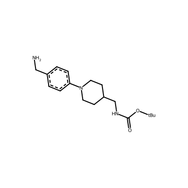 CC(C)(C)OC(=O)NCC1CCN(c2ccc(CN)cc2)CC1